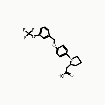 O=C(O)CC1CCCN1c1ccc(OCc2cccc(OC(F)(F)F)c2)cc1